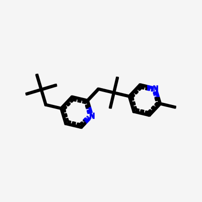 Cc1ccc(C(C)(C)Cc2cc(CC(C)(C)C)ccn2)cn1